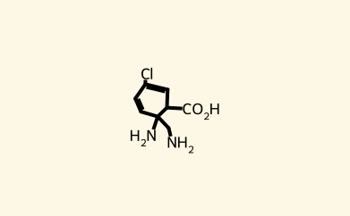 NCC1(N)C=CC(Cl)=CC1C(=O)O